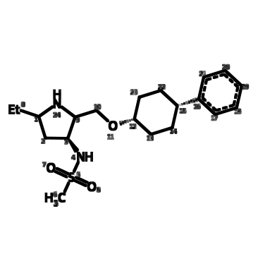 CCC1C[C@H](NS(C)(=O)=O)C(CO[C@H]2CC[C@@H](c3ccccc3)CC2)N1